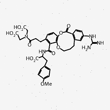 COc1ccc(CC(NC(=O)c2c(CCC(=O)N(CC(=O)O)CC(=O)O)ccc3c2OCCCc2cc(NC(=N)N)ccc2C(=O)O3)C(=O)O)cc1